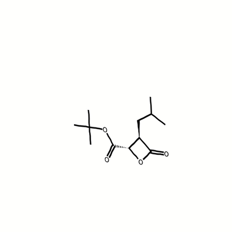 CC(C)C[C@H]1C(=O)O[C@@H]1C(=O)OC(C)(C)C